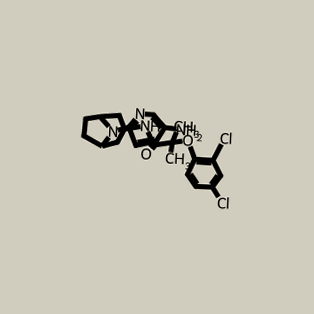 CC(C)(Oc1ccc(Cl)cc1Cl)C(=O)NC1CC2CCC(C1)N2c1ccc(N)cn1